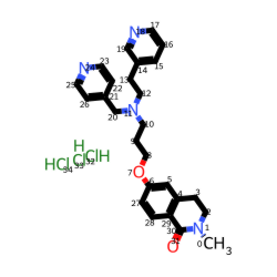 CN1CCc2cc(OCCCN(CCc3cccnc3)Cc3ccncc3)ccc2C1=O.Cl.Cl.Cl